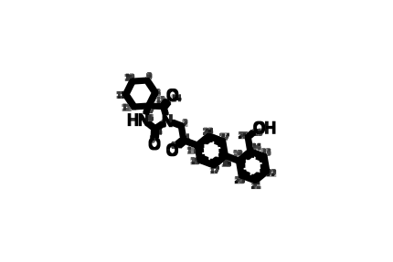 O=C(CN1C(=O)NC2(CCCCC2)C1=O)c1ccc(-c2ccccc2CO)cc1